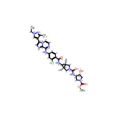 CC(C)(C)OC(=O)N1C[C@@H](O)[C@H](NC(=O)N2C[C@@H]3C(NC(=O)c4ccc(Nc5nccn6c(-c7cn(CC#N)nc7C(F)(F)F)cnc56)cc4Cl)[C@@H]3C2)C1